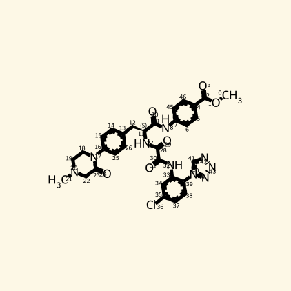 COC(=O)c1ccc(NC(=O)[C@H](Cc2ccc(N3CCN(C)CC3=O)cc2)NC(=O)C(=O)Nc2cc(Cl)ccc2-n2cnnn2)cc1